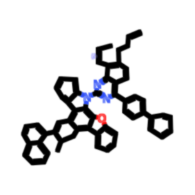 C=CCCc1ccc2c(-c3ccc(-c4ccccc4)cc3)nc(-n3c4ccccc4c4c5c(c6c7ccccc7oc6c43)CC(C)C(c3cccc4ccccc34)=C5)nc2c1/C=C\C